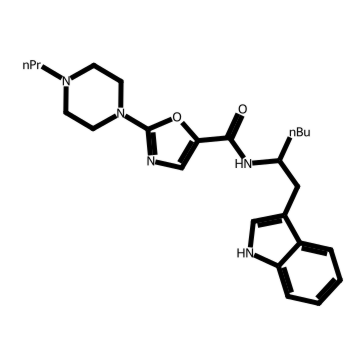 CCCCC(Cc1c[nH]c2ccccc12)NC(=O)c1cnc(N2CCN(CCC)CC2)o1